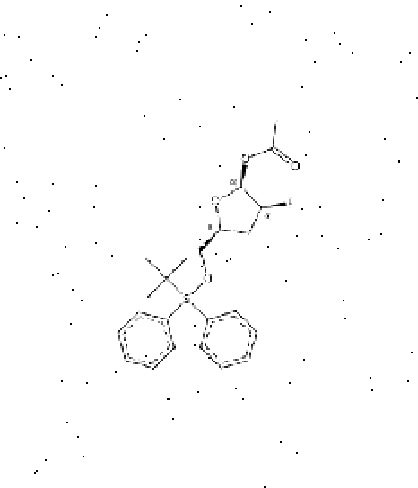 CC(=O)O[C@@H]1O[C@H](CO[Si](c2ccccc2)(c2ccccc2)C(C)(C)C)C[C@@H]1F